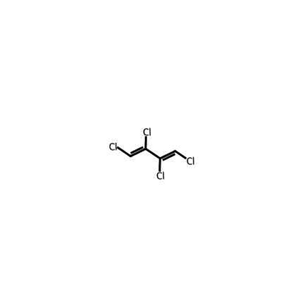 ClC=C(Cl)C(Cl)=CCl